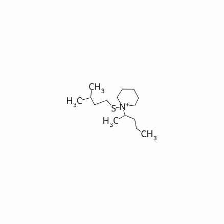 CCCC(C)[N+]1(SCCC(C)C)CCCCC1